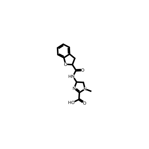 CN1CC(NC(=O)C2Cc3ccccc3O2)N=C1C(=O)O